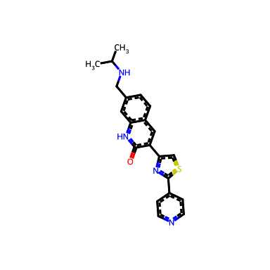 CC(C)NCc1ccc2cc(-c3csc(-c4ccncc4)n3)c(=O)[nH]c2c1